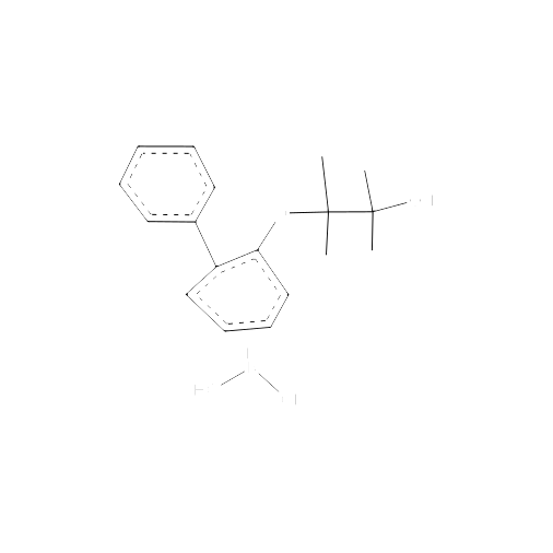 CC(C)(O)C(C)(C)Oc1ccccc1-c1ccccc1.OBO